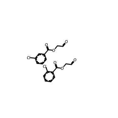 O=CCOC(=O)c1cccc(Cl)c1.O=CCOC(=O)c1ccccc1Cl